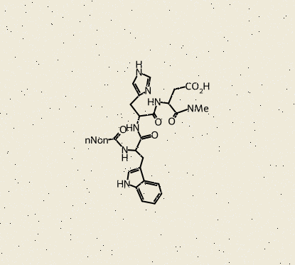 CCCCCCCCCC(=O)NC(Cc1c[nH]c2ccccc12)C(=O)NC(Cc1c[nH]cn1)C(=O)NC(CC(=O)O)C(=O)NC